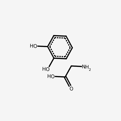 NCC(=O)O.Oc1ccccc1O